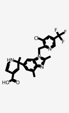 Cc1cc(C2(C)C=C(C(=O)O)C=CN2)cc2c1nc(C)n2Cc1ncc(C(F)(F)F)cc1Cl